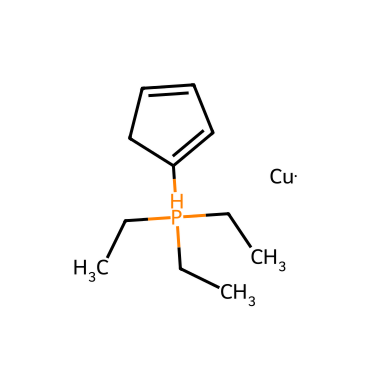 CC[PH](CC)(CC)C1=CC=CC1.[Cu]